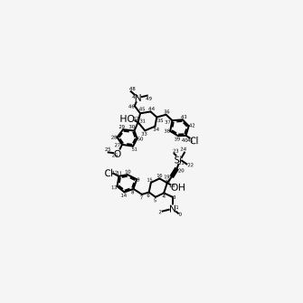 CN(C)CC1CC(Cc2ccc(Cl)cc2)CCC1(O)C#C[Si](C)(C)C.COc1ccc(C2(O)CCC(Cc3ccc(Cl)cc3)CC2CN(C)C)cc1